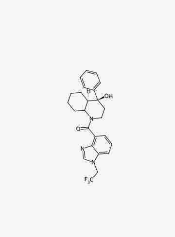 O=C(c1cccc2c1ncn2CC(F)(F)F)N1CC[C@@](O)(c2ccccc2)[C@@H]2CCCCC21